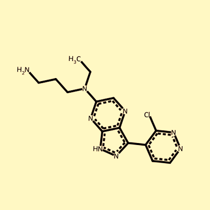 CCN(CCCN)c1cnc2c(-c3ccnnc3Cl)n[nH]c2n1